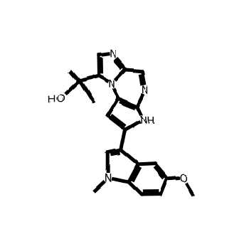 COc1ccc2c(c1)c(-c1cc3c(ncc4ncc(C(C)(C)O)n43)[nH]1)cn2C